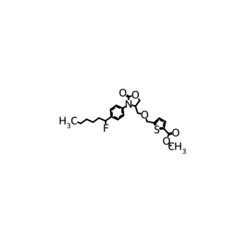 CCCCCC(F)c1ccc(N2C(=O)OCC2COCc2ccc(C(=O)OC)s2)cc1